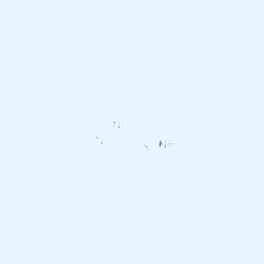 CN1CCN(CC2CC2C(N)=O)CC1